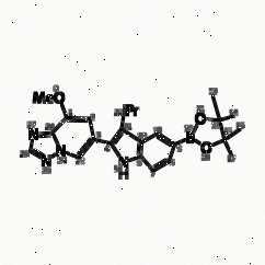 COc1cc(-c2[nH]c3ccc(B4OC(C)(C)C(C)(C)O4)cc3c2C(C)C)cn2ncnc12